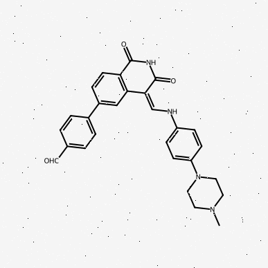 CN1CCN(c2ccc(N/C=C3\C(=O)NC(=O)c4ccc(-c5ccc(C=O)cc5)cc43)cc2)CC1